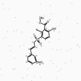 CCCCOC(=O)c1c(O)ccc(S(=O)(=O)CC=Cc2cccc([N+](=O)[O-])c2)c1C